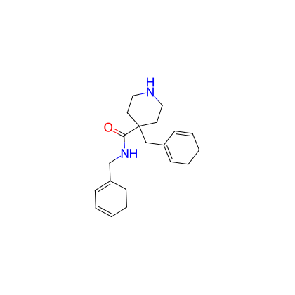 O=C(NCC1=CC=CCC1)C1(CC2=CCCC=C2)CCNCC1